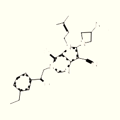 CCc1cccc(C(=O)Cn2cnc3c(C#N)c(N4CC(N)C4)n(CC=C(C)C)c3c2=O)c1